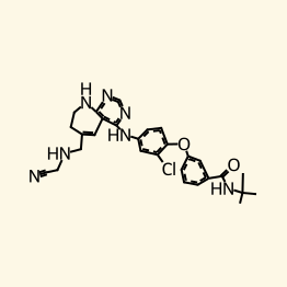 CC(C)(C)NC(=O)c1cccc(Oc2ccc(Nc3ncnc4c3C=C(CNCC#N)CCN4)cc2Cl)c1